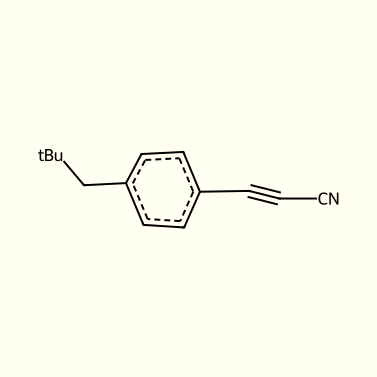 CC(C)(C)Cc1ccc(C#CC#N)cc1